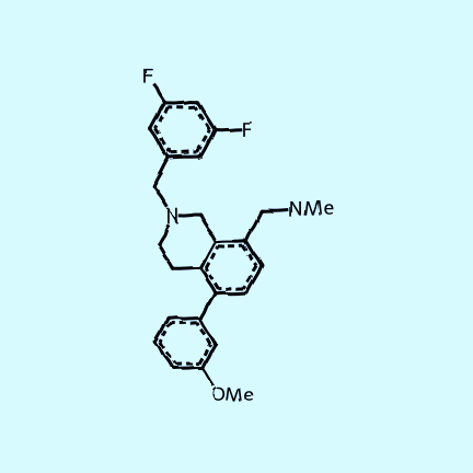 CNCc1ccc(-c2cccc(OC)c2)c2c1CN(Cc1cc(F)cc(F)c1)CC2